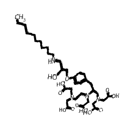 CCCCCCCCCCCNCC(O)COc1ccc(CC(CN(CC(=O)O)CC(=O)O)N(CCN(CC(=O)O)CC(=O)O)CC(=O)O)cc1